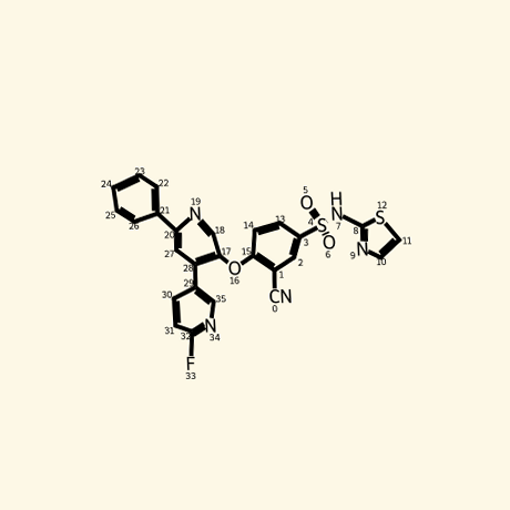 N#Cc1cc(S(=O)(=O)Nc2nccs2)ccc1Oc1cnc(-c2ccccc2)cc1-c1ccc(F)nc1